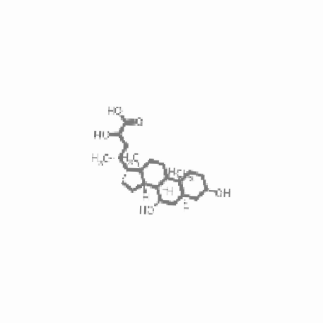 C[C@H](CC(O)C(=O)O)[C@H]1CC[C@H]2[C@@H]3[C@H](O)C[C@@H]4C[C@H](O)CC[C@]4(C)[C@H]3CC[C@]12C